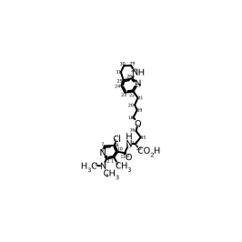 Cc1c(N(C)C)ncc(Cl)c1C(=O)N[C@@H](CCOCCCCc1ccc2c(n1)NCCC2)C(=O)O